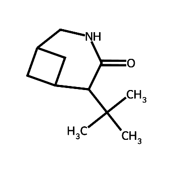 CC(C)(C)C1C(=O)NCC2CC1C2